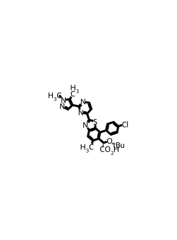 Cc1cc2nc(-c3ccnc(-c4cnn(C)c4C)n3)sc2c(-c2ccc(Cl)cc2)c1[C@H](OC(C)(C)C)C(=O)O